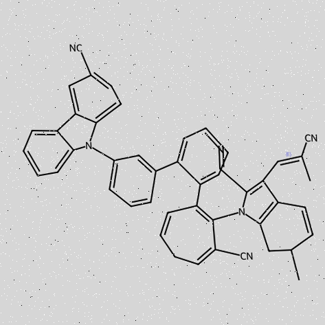 C=Cc1c(/C=C(\C)C#N)c2c(n1C1=C(c3ccccc3-c3cccc(-n4c5ccccc5c5cc(C#N)ccc54)c3)C=CCC=C1C#N)CC(C)C=C2